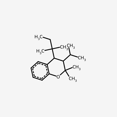 CCC(C)(C)C1c2ccccc2OC(C)(C)C1C(C)C